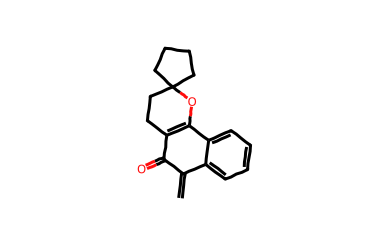 C=C1C(=O)C2=C(OC3(CCCC3)CC2)c2ccccc21